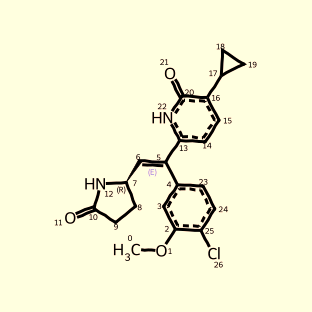 COc1cc(/C(=C\[C@H]2CCC(=O)N2)c2ccc(C3CC3)c(=O)[nH]2)ccc1Cl